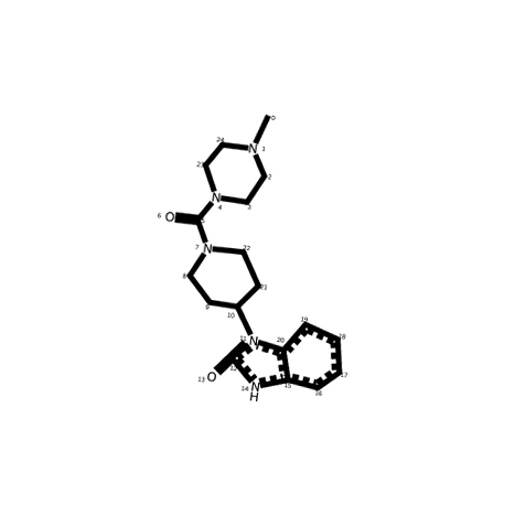 CN1CCN(C(=O)N2CCC(n3c(=O)[nH]c4ccccc43)CC2)CC1